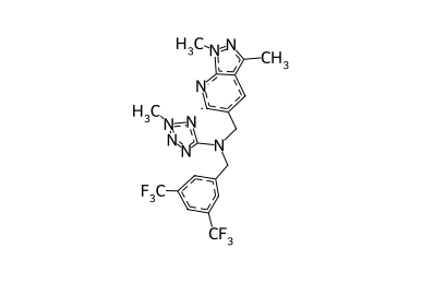 Cc1nn(C)c2n[c]c(CN(Cc3cc(C(F)(F)F)cc(C(F)(F)F)c3)c3nnn(C)n3)cc12